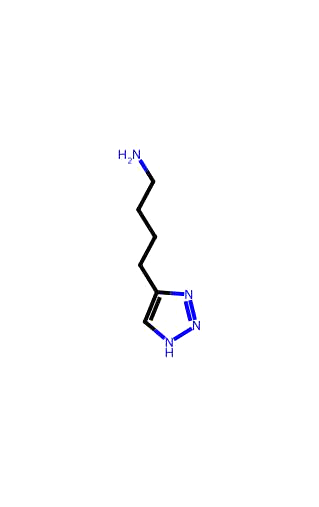 NCCCCc1c[nH]nn1